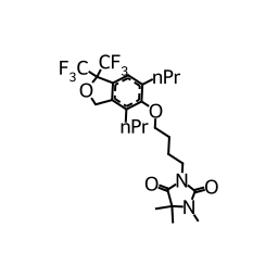 CCCc1cc2c(c(CCC)c1OCCCCN1C(=O)N(C)C(C)(C)C1=O)COC2(C(F)(F)F)C(F)(F)F